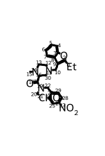 CCc1oc2ccccc2c1CN1CCN(C)C(C(=O)N(CC=O)Cc2ccc([N+](=O)[O-])cc2)C1